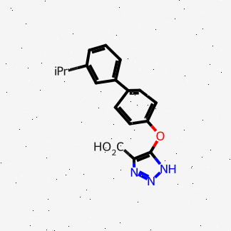 CC(C)c1cccc(-c2ccc(Oc3[nH]nnc3C(=O)O)cc2)c1